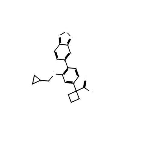 O=C(O)C1(c2ccc(-c3ccc4nsnc4c3)c(OCC3CC3)c2)CCC1